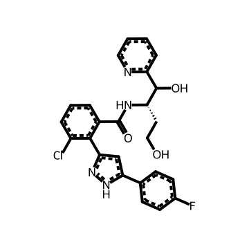 O=C(N[C@@H](CCO)C(O)c1ccccn1)c1cccc(Cl)c1-c1cc(-c2ccc(F)cc2)[nH]n1